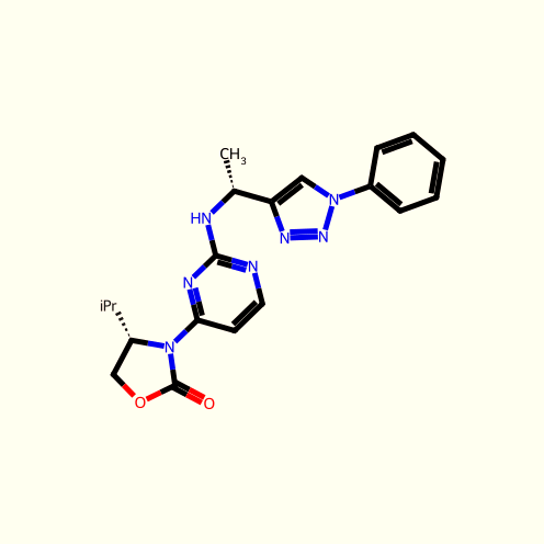 CC(C)[C@H]1COC(=O)N1c1ccnc(N[C@H](C)c2cn(-c3ccccc3)nn2)n1